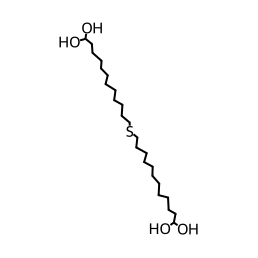 OC(O)CCCCCCCCCCCSCCCCCCCCCCCC(O)O